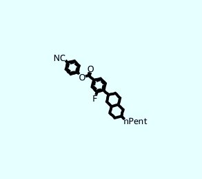 CCCCCC1CCC2CC(c3ccc(C(=O)Oc4ccc(C#N)cc4)cc3F)CCC2C1